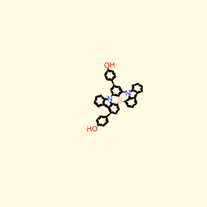 Oc1ccc(-c2cc3c4c(c2)-n2c5ccccc5c5c(-c6ccc(O)cc6)ccc(c52)B4c2cccc4c5ccccc5n-3c24)cc1